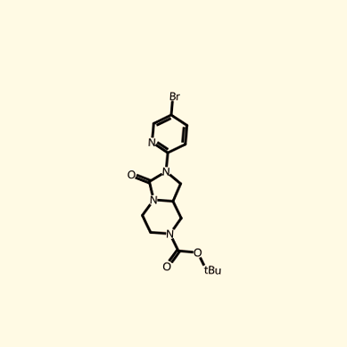 CC(C)(C)OC(=O)N1CCN2C(=O)N(c3ccc(Br)cn3)CC2C1